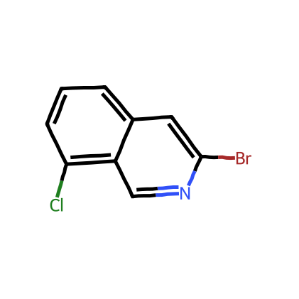 Clc1cccc2cc(Br)ncc12